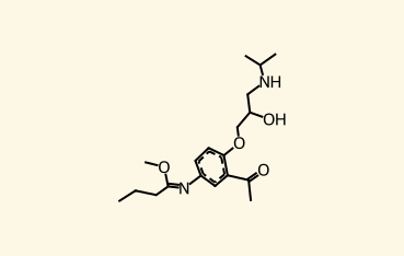 CCC/C(=N/c1ccc(OCC(O)CNC(C)C)c(C(C)=O)c1)OC